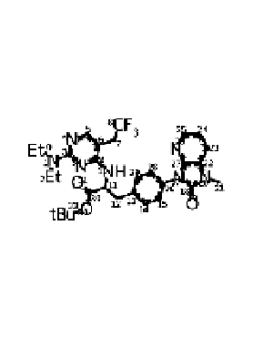 CCN(CC)c1ncc(CC(F)(F)F)c(NC(Cc2ccc(-n3c(=O)n(C)c4cccnc43)cc2)C(=O)OC(C)(C)C)n1